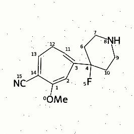 COC1=CC(C2(F)CCNCC2)=CCC=C1C#N